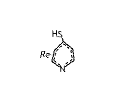 Sc1ccncc1.[Re]